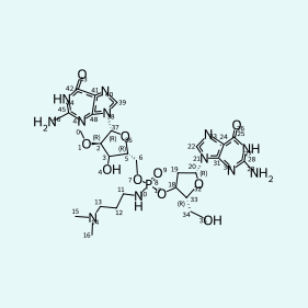 CO[C@@H]1C(O)[C@@H](COP(=O)(NCCCN(C)C)OC2C[C@H](n3cnc4c(=O)[nH]c(N)nc43)O[C@@H]2CO)O[C@H]1n1cnc2c(=O)[nH]c(N)nc21